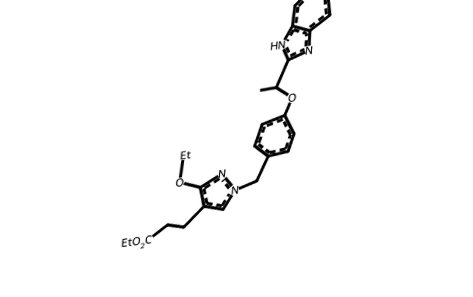 CCOC(=O)CCc1cn(Cc2ccc(OC(C)c3nc4ccccc4[nH]3)cc2)nc1OCC